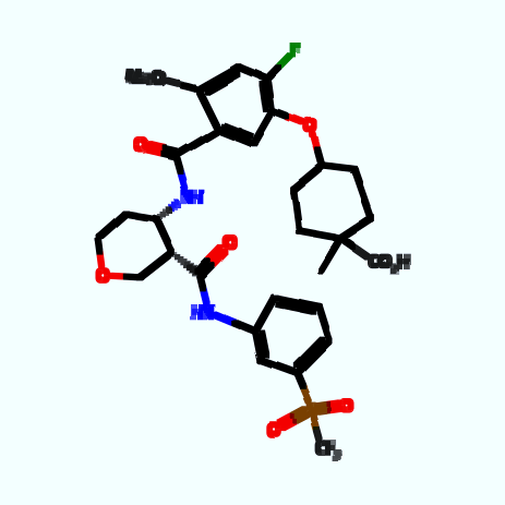 COc1cc(F)c(OC2CCC(C)(C(=O)O)CC2)cc1C(=O)N[C@H]1CCOC[C@H]1C(=O)Nc1cccc(S(=O)(=O)C(F)(F)F)c1